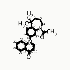 CC(=O)N1CCCC(C)(C)c2ccc(-n3ccc(=O)c4ccccc43)cc21